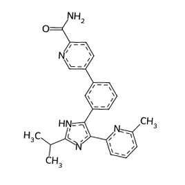 Cc1cccc(-c2nc(C(C)C)[nH]c2-c2cccc(-c3ccc(C(N)=O)nc3)c2)n1